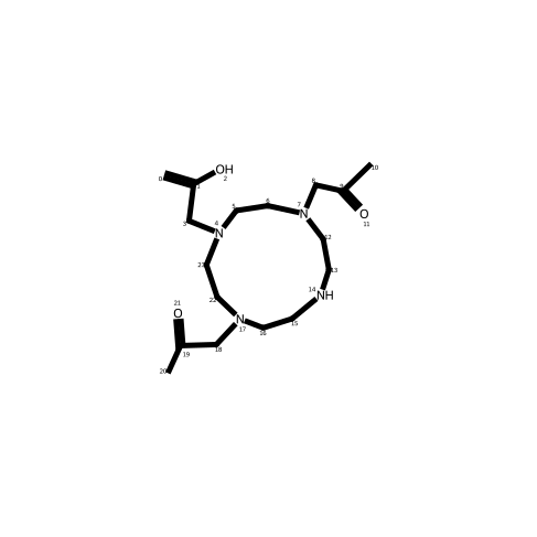 C=C(O)CN1CCN(CC(C)=O)CCNCCN(CC(C)=O)CC1